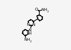 NC(=O)c1cccc(-c2ccnc(Nc3cccc(N)c3)n2)c1